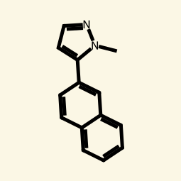 Cn1nccc1-c1ccc2ccccc2c1